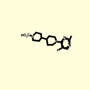 Cc1ncc(F)c(N2CCC(C3CCN(C(=O)O)CC3)CC2)n1